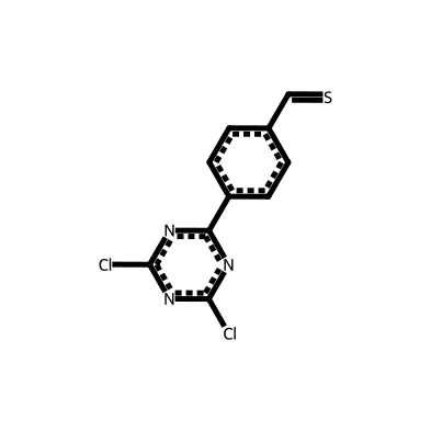 S=Cc1ccc(-c2nc(Cl)nc(Cl)n2)cc1